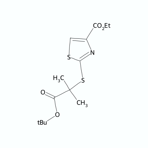 CCOC(=O)c1csc(SC(C)(C)C(=O)OC(C)(C)C)n1